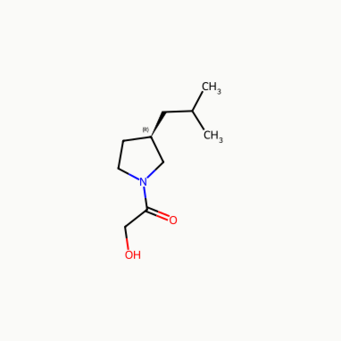 CC(C)C[C@@H]1CCN(C(=O)CO)C1